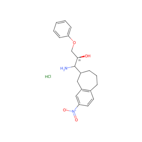 Cl.NC(C1CCCc2ccc([N+](=O)[O-])cc2C1)[C@H](O)COc1ccccc1